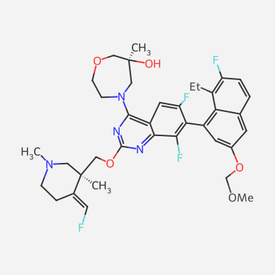 CCc1c(F)ccc2cc(OCOC)cc(-c3c(F)cc4c(N5CCOC[C@@](C)(O)C5)nc(OC[C@]5(C)CN(C)CC/C5=C\F)nc4c3F)c12